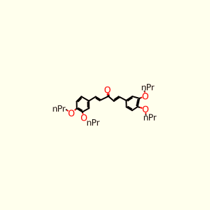 CCCOc1ccc(C=CC(=O)C=Cc2ccc(OCCC)c(OCCC)c2)cc1OCCC